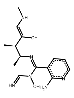 CNC=C(O)[C@H](C)[C@H](C)/N=C(/c1cccnc1N)N(O)C=N